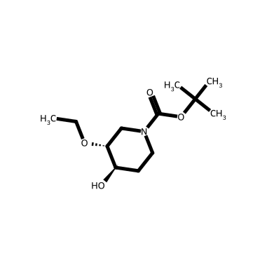 CCO[C@@H]1CN(C(=O)OC(C)(C)C)CC[C@H]1O